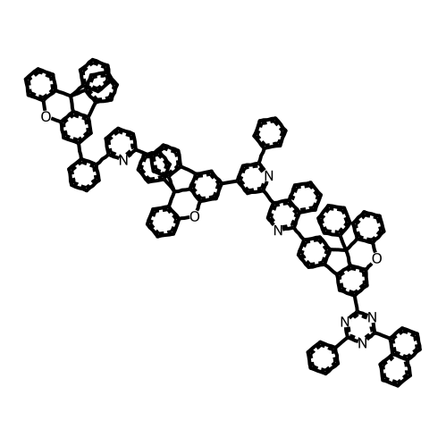 c1ccc(-c2cc(-c3cc4c5c(c3)-c3ccc(-c6cccc(-c7ccccc7-c7cc8c9c(c7)-c7ccccc7C9(c7ccccc7)c7ccccc7O8)n6)cc3C5(c3ccccc3)c3ccccc3O4)cc(-c3cnc(-c4ccc5c(c4)C4(c6ccccc6)c6ccccc6Oc6cc(-c7nc(-c8ccccc8)nc(-c8cccc9ccccc89)n7)cc-5c64)c4ccccc34)n2)cc1